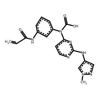 C=CC(=O)Nc1cccc(N(C(=O)O)c2ccnc(Nc3cnn(C)c3)n2)c1